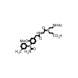 COc1cc(CC(=O)NCC(=O)N(CCNC(C)=O)CCC(=O)O)ccc1N(C(N)=O)c1cccc(C)c1